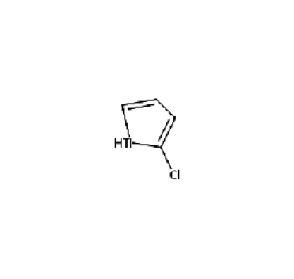 Cl[C]1=CC=[CH][TlH]1